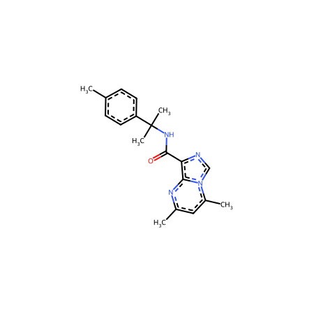 Cc1ccc(C(C)(C)NC(=O)c2ncn3c(C)cc(C)nc23)cc1